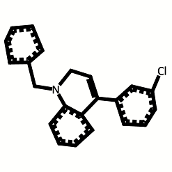 Clc1cccc(C2=CCN(Cc3ccccc3)c3ccccc32)c1